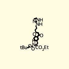 CCOC(=O)[C@H](Cc1ccc2oc(CCCNc3ncc[nH]3)cc(=O)c2c1)NC(=O)OCC(C)(C)C